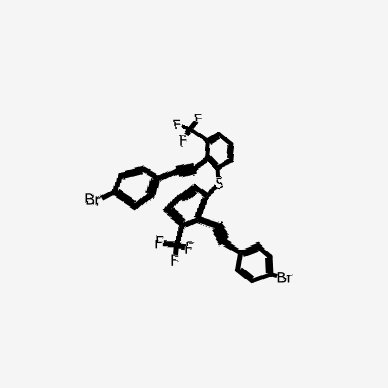 FC(F)(F)c1cccc(Sc2cccc(C(F)(F)F)c2C#Cc2ccc(Br)cc2)c1C#Cc1ccc(Br)cc1